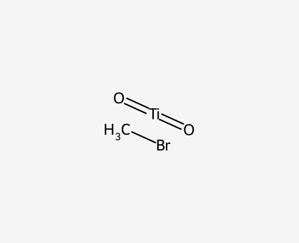 CBr.[O]=[Ti]=[O]